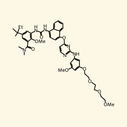 CCC(C)(C)c1cc(NC(=O)Nc2ccc(Oc3ccnc(Nc4cc(OC)cc(OCCOCCOCCOC)c4)n3)c3ccccc23)c(OC)c(C(=O)N(C)C)c1